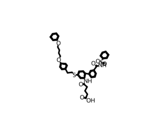 O=C(O)CCCC(=O)Nc1cc(SCCc2ccc(OCCCCOc3ccccc3)cc2)ccc1-c1cccc(C(=O)NS(=O)(=O)c2ccccc2)c1